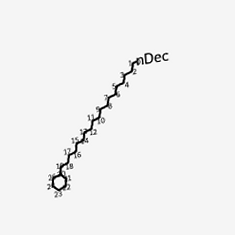 CCCCCCCCCCCCCCCCCCCCCCCCCCCCCC1CCCCC1